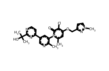 Cc1ncc(-c2ccnc(C(C)(C)O)n2)cc1-n1c(C)cc(OCc2ccn(C)n2)c(Cl)c1=O